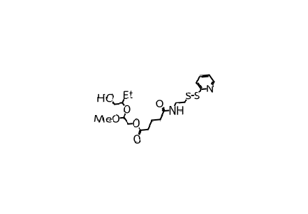 CCC(CO)OC(COC(=O)CCCC(=O)NCCSSc1ccccn1)OC